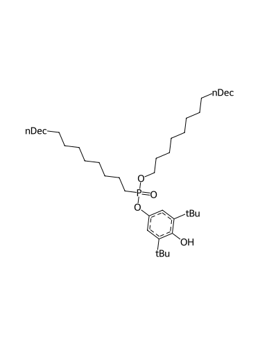 CCCCCCCCCCCCCCCCCCOP(=O)(CCCCCCCCCCCCCCCCCC)Oc1cc(C(C)(C)C)c(O)c(C(C)(C)C)c1